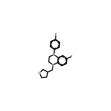 Fc1ccc(N2CCN(CC3CCOC3)c3ccc(F)cc32)cc1